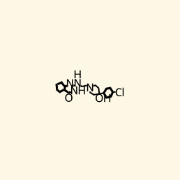 O=c1[nH]c(NCCN2CCC(O)(c3ccc(Cl)cc3)CC2)nc2ccccc12